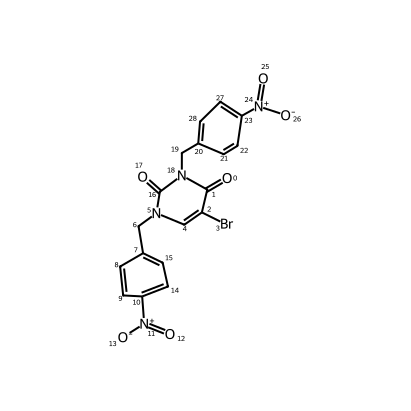 O=c1c(Br)cn(Cc2ccc([N+](=O)[O-])cc2)c(=O)n1Cc1ccc([N+](=O)[O-])cc1